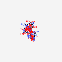 NCC(=O)N[C@@H](CO)C(=O)N[C@@H](CC(=O)O)C(=O)N[C@@H](CO)C(=O)N[C@@H](CC(N)=O)C(=O)N[C@@H](CC(=O)O)C(=O)N[C@@H](CO)C(=O)N[C@@H](CC(=O)O)C(=O)N[C@@H](CO)C(=O)N[C@@H](CC(N)=O)C(=O)N[C@@H](CC(=O)O)C(=O)NCC(=O)N[C@@H](CO)C(=O)NCC(=O)N[C@@H](CO)C(=O)N[C@@H](CC(=O)O)C(=O)N[C@@H](CO)C(=O)N[C@@H](CC(N)=O)C(=O)N[C@@H](CC(=O)O)C(=O)NCC(=O)N[C@@H](CO)C(=O)O